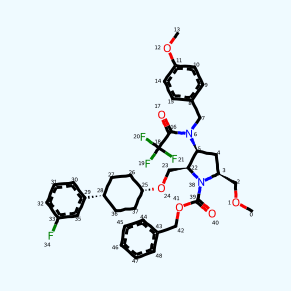 COC[C@@H]1C[C@H](N(Cc2ccc(OC)cc2)C(=O)C(F)(F)F)[C@H](CO[C@H]2CC[C@@H](c3cccc(F)c3)CC2)N1C(=O)OCc1ccccc1